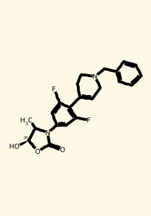 CC1[C@H](O)OC(=O)N1c1cc(F)c(C2=CCN(Cc3ccccc3)CC2)c(F)c1